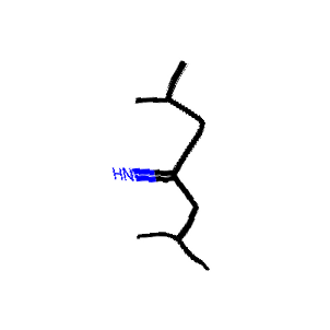 CC(C)CC(=N)CC(C)C